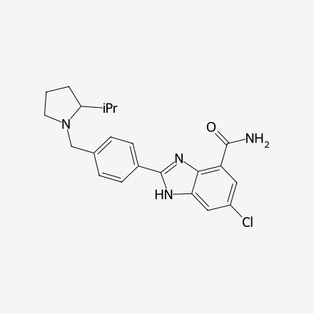 CC(C)C1CCCN1Cc1ccc(-c2nc3c(C(N)=O)cc(Cl)cc3[nH]2)cc1